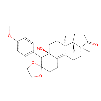 COc1ccc(C2C3(CCC4=C5CC[C@]6(C)C(=O)CC[C@H]6[C@@H]5CC[C@]42O)OCCO3)cc1